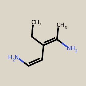 CCC(/C=C\N)=C(\C)N